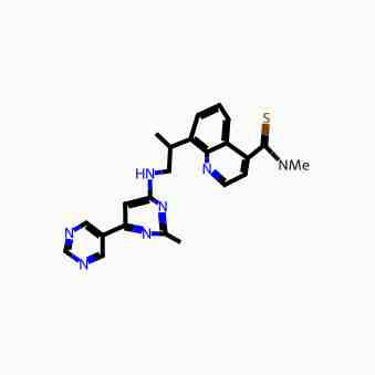 CNC(=S)c1ccnc2c(C(C)CNc3cc(-c4cncnc4)nc(C)n3)cccc12